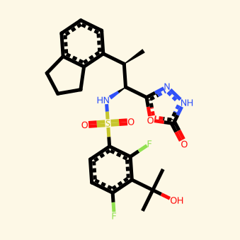 C[C@H](c1cccc2c1CCC2)[C@H](NS(=O)(=O)c1ccc(F)c(C(C)(C)O)c1F)c1n[nH]c(=O)o1